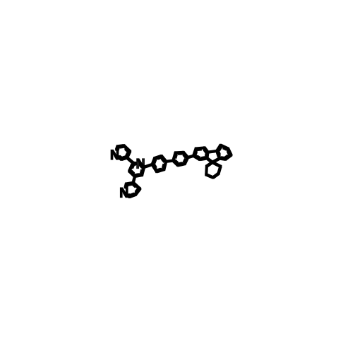 c1cncc(-c2cc(-c3ccc(-c4ccc(-c5ccc6c(c5)C5(CCCCC5)c5ccccc5-6)cc4)cc3)nc(-c3cccnc3)c2)c1